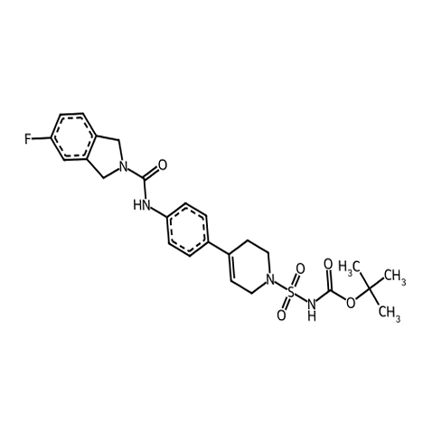 CC(C)(C)OC(=O)NS(=O)(=O)N1CC=C(c2ccc(NC(=O)N3Cc4ccc(F)cc4C3)cc2)CC1